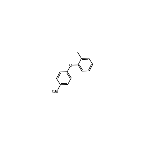 Cc1ccccc1Oc1ccc(C(C)(C)C)cc1